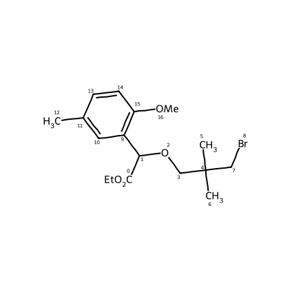 CCOC(=O)C(OCC(C)(C)CBr)c1cc(C)ccc1OC